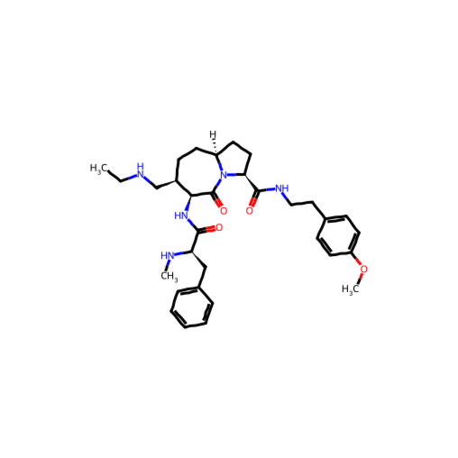 CCNC[C@H]1CC[C@H]2CC[C@@H](C(=O)NCCc3ccc(OC)cc3)N2C(=O)[C@H]1NC(=O)[C@@H](Cc1ccccc1)NC